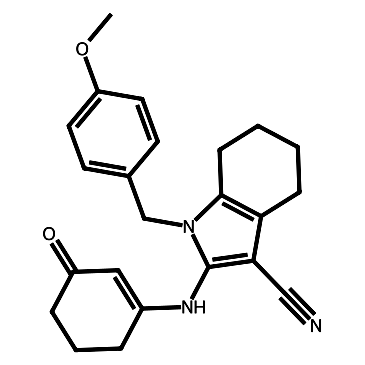 COc1ccc(Cn2c3c(c(C#N)c2NC2=CC(=O)CCC2)CCCC3)cc1